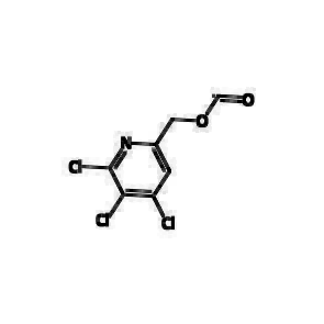 O=[C]OCc1cc(Cl)c(Cl)c(Cl)n1